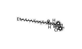 CCC=CCC=CCC=CCC=CCC=CCC=CCCC(=O)NCCNC(=O)c1ccccc1Nc1c(Cl)ccc(C)c1Cl